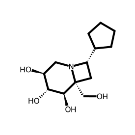 OC[C@@]12C[C@@H](C3CCCC3)N1C[C@H](O)[C@@H](O)[C@@H]2O